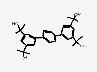 CC(C)(O)c1cc(-c2ccc(-c3cc(C(C)(C)O)cc(C(C)(C)O)c3)cc2)cc(C(C)(C)O)c1